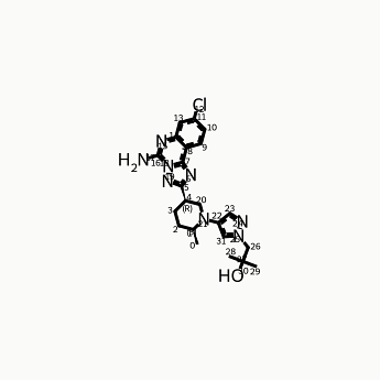 C[C@H]1CC[C@@H](c2nc3c4ccc(Cl)cc4nc(N)n3n2)CN1c1cnn(CC(C)(C)O)c1